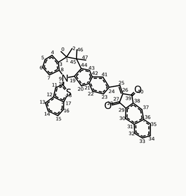 CC1(C)c2ccccc2N(c2cc3ccccc3s2)c2cc3ccc(C=C4C(=O)c5cc6ccccc6cc5C4=O)cc3cc2C1(C)C